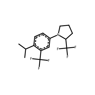 CC(C)c1ccc(N2CCCC2C(F)(F)F)cc1C(F)(F)F